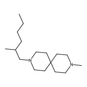 CCCCC(C)CN1CCC2(CCN(C)CC2)CC1